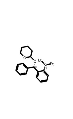 CC[SiH](CC)c1ccccc1[C@@H](OC1CCCCO1)c1ccccc1